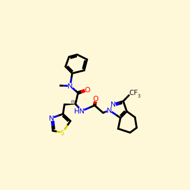 CN(C(=O)[C@H](Cc1cscn1)NC(=O)Cn1nc(C(F)(F)F)c2c1CCCC2)c1ccccc1